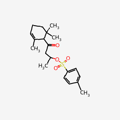 CC1=CCCC(C)(C)C1C(=O)CC(C)OS(=O)(=O)c1ccc(C)cc1